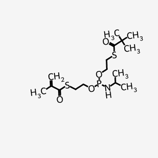 C=C(C)C(=O)SCCOP(NC(C)C)OCCSC(=O)C(C)(C)C